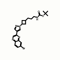 CC(C)(C)OC(=O)NCCCC1CC(n2cc(-c3cnc4ccc(Br)cc4n3)cn2)C1